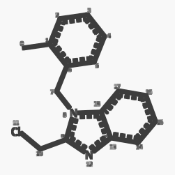 Cc1ccccc1Cn1c(CCl)nc2ccccc21